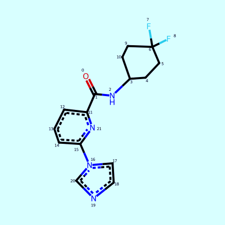 O=C(NC1CCC(F)(F)CC1)c1cccc(-n2ccnc2)n1